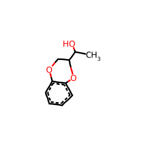 CC(O)C1COc2ccccc2O1